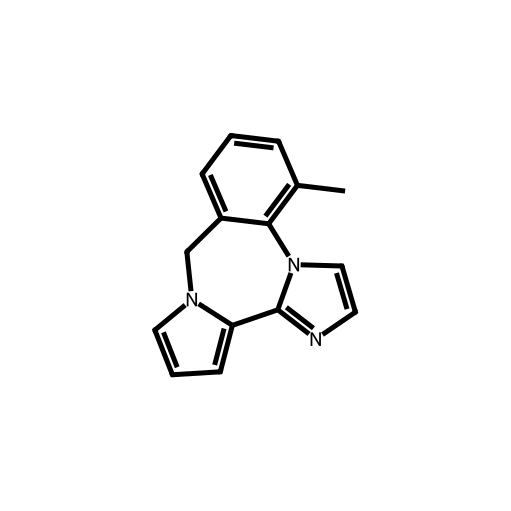 Cc1cccc2c1-n1ccnc1-c1cccn1C2